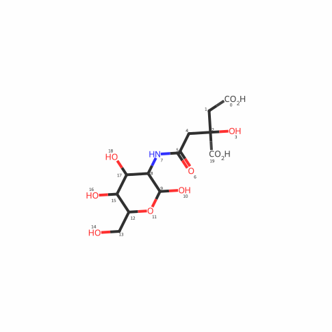 O=C(O)CC(O)(CC(=O)NC1C(O)OC(CO)C(O)C1O)C(=O)O